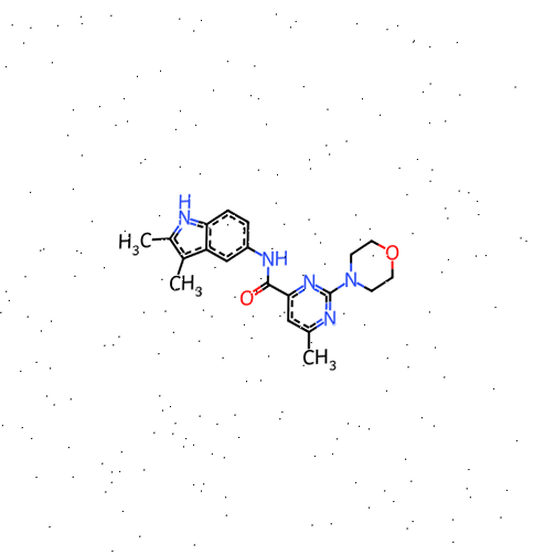 Cc1cc(C(=O)Nc2ccc3[nH]c(C)c(C)c3c2)nc(N2CCOCC2)n1